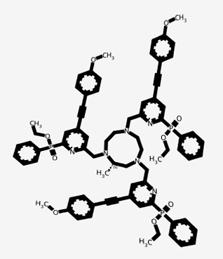 CCOP(=O)(c1ccccc1)c1cc(C#Cc2ccc(OC)cc2)cc(CN2CCN(Cc3cc(C#Cc4ccc(OC)cc4)cc(P(=O)(OCC)c4ccccc4)n3)C[C@H](C)N(Cc3cc(C#Cc4ccc(OC)cc4)cc(P(=O)(OCC)c4ccccc4)n3)CC2)n1